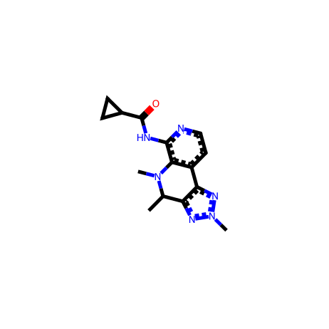 CC1c2nn(C)nc2-c2ccnc(NC(=O)C3CC3)c2N1C